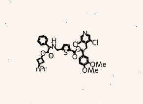 CCCC1CC(OC(=O)C(NCc2ccc(C(=O)O[C@@H](Cc3c(Cl)cncc3Cl)c3ccc(OC)c(OC)c3)s2)c2ccccc2)C1